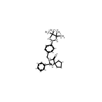 CC1(C)OB(c2ccc(CN3C(=O)C4(CCCC4)N=C3c3ccccc3)cc2)OC1(C)C